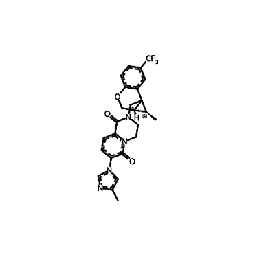 Cc1cn(-c2ccc3n(c2=O)CCN(CC24c5cc(C(F)(F)F)ccc5OC[C@H]2[C@@H]4C)C3=O)cn1